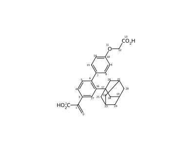 C=C(C(=O)O)c1ccc(-c2ccc(OCC(=O)O)cc2)c(C23CC4CC(CC(C4)C2)C3)c1